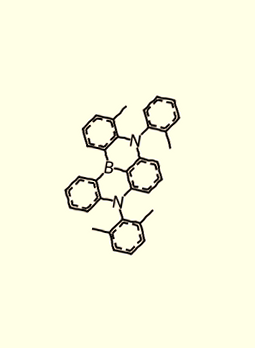 Cc1ccccc1N1c2cccc3c2B(c2ccccc2N3c2c(C)cccc2C)c2cccc(C)c21